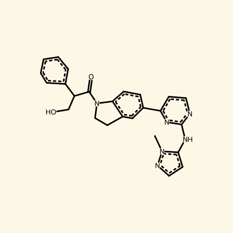 Cn1nccc1Nc1nccc(-c2ccc3c(c2)CCN3C(=O)C(CO)c2ccccc2)n1